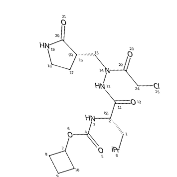 CC(C)C[C@H](NC(=O)OC1CCC1)C(=O)NN(C[C@@H]1CCNC1=O)C(=O)CCl